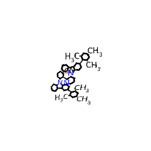 Cc1cc(C)c(-c2ccc3c(c2)c2ccccc2n3-c2cccnc2-c2c(C#N)cccc2-n2c3ccccc3c3cc(-c4c(C)cc(C)cc4C)ccc32)c(C)c1